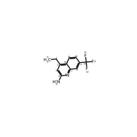 CCc1cc(N)nc2cc(C(F)(F)F)ccc12